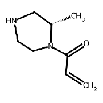 C=CC(=O)N1CCNC[C@@H]1C